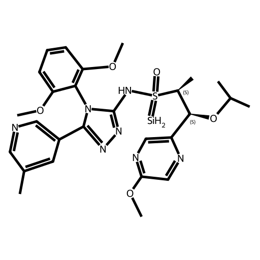 COc1cnc([C@H](OC(C)C)[C@H](C)S(=O)(=[SiH2])Nc2nnc(-c3cncc(C)c3)n2-c2c(OC)cccc2OC)cn1